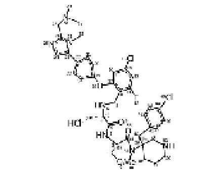 COC[C@H](NC(=O)[C@H](C)NCc1c(F)cc(Cl)cc1Oc1ccc(-c2cnc(CN(C)C)n2C)cc1)C(=O)N(C)[C@@]1(Cc2ccc(Cl)cc2)CCCNC1.Cl